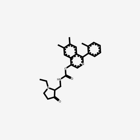 CCN1CCC(=O)C1CNC(=O)Oc1cnc(-c2ccccc2C)c2cc(C)c(C)cc12